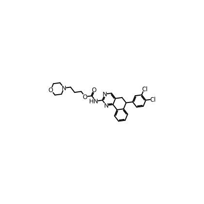 O=C(Nc1ncc2c(n1)-c1ccccc1C(c1ccc(Cl)c(Cl)c1)C2)OCCCN1CCOCC1